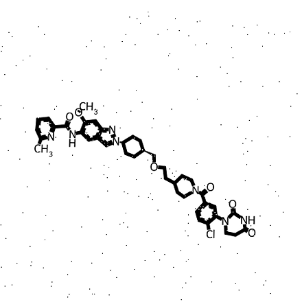 COc1cc2nn([C@H]3CC[C@H](COCCC4CCN(C(=O)c5ccc(Cl)c(N6CCC(=O)NC6=O)c5)CC4)CC3)cc2cc1NC(=O)c1cccc(C)n1